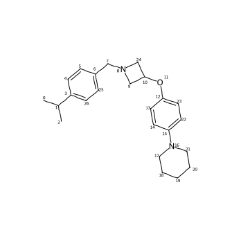 CC(C)c1ccc(CN2CC(Oc3ccc(N4CCCCC4)cc3)C2)cc1